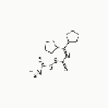 NC(=S)SSC(=S)N=C(C1CCCC1)C1CCCC1